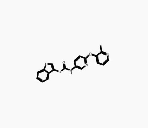 Cc1ncccc1Oc1ccc(NC(=O)Oc2coc3ccccc23)cn1